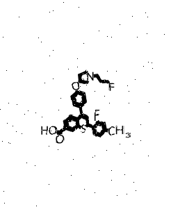 Cc1ccc(C2C=C(c3ccc(O[C@H]4CCN(CCCF)C4)cc3)c3ccc(C(=O)O)cc3S2)c(F)c1